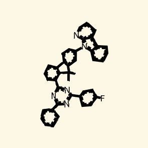 CC1(C)c2cc(-n3c4ccccc4c4cccnc43)ccc2-c2cccc(-c3nc(-c4ccccc4)nc(-c4ccc(F)cc4)n3)c21